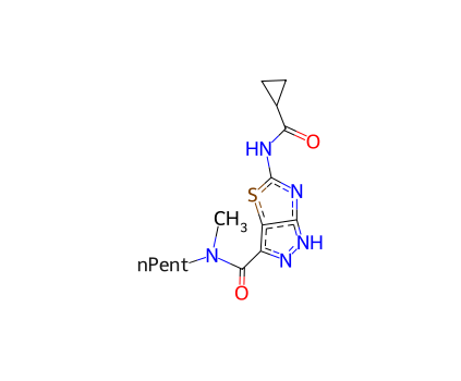 CCCCCN(C)C(=O)c1n[nH]c2nc(NC(=O)C3CC3)sc12